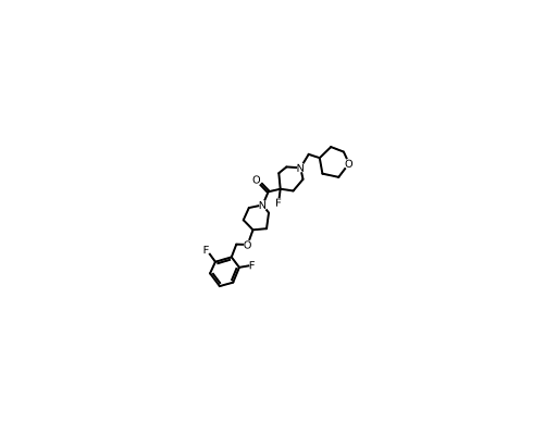 O=C(N1CCC(OCc2c(F)cccc2F)CC1)C1(F)CCN(CC2CCOCC2)CC1